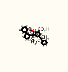 CC(C)(c1ccccc1)c1cc(C(=O)O)c(OCOc2ccccc2)c(C(C)(C)c2ccccc2)c1